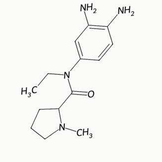 CCN(C(=O)C1CCCN1C)c1ccc(N)c(N)c1